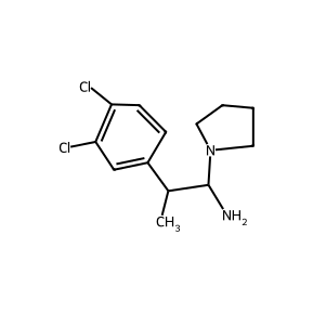 CC(c1ccc(Cl)c(Cl)c1)C(N)N1CCCC1